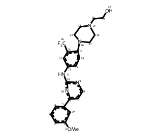 COc1cccc(-c2ccnc(Nc3ccc(N4CCN(CCO)CC4)c(C(F)(F)F)c3)n2)c1